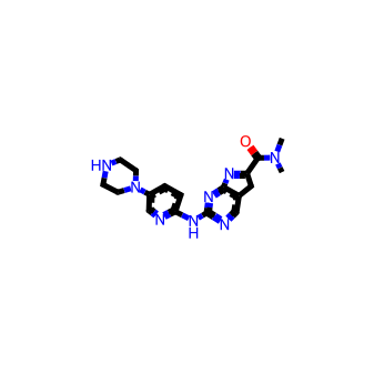 CN(C)C(=O)C1=Nc2nc(Nc3ccc(N4CCNCC4)cn3)ncc2C1